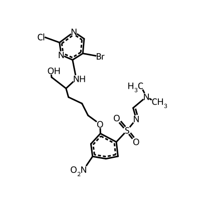 CN(C)C=NS(=O)(=O)c1ccc([N+](=O)[O-])cc1OCCCC(CO)Nc1nc(Cl)ncc1Br